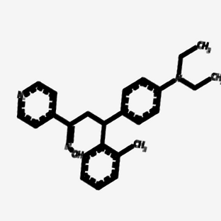 CCN(CC)c1ccc(C(C/C(=N\O)c2ccncc2)c2ccccc2C)cc1